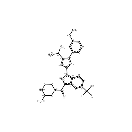 COc1cccc(-c2nc(-n3nc(C(=O)N4CCNC(C)C4)c4cc(C(F)(F)F)ccc43)sc2C(C)C)c1